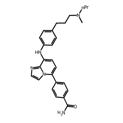 CCCN(C)CCCc1ccc(Nc2ccc(-c3ccc(C(N)=O)cc3)n3ccnc23)cc1